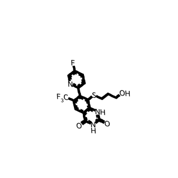 O=c1[nH]c(=O)c2cc(C(F)(F)F)c(-c3ccc(F)cn3)c(SCCCO)c2[nH]1